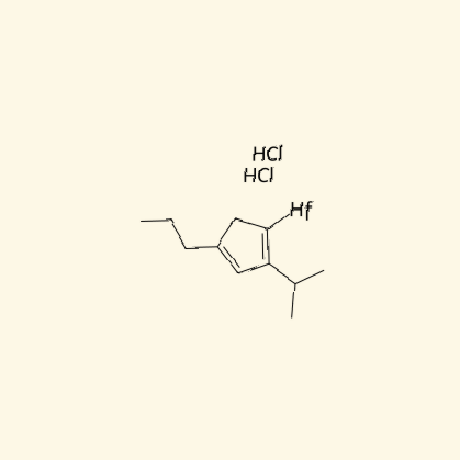 CCCC1=CC(C(C)C)=[C]([Hf])C1.Cl.Cl